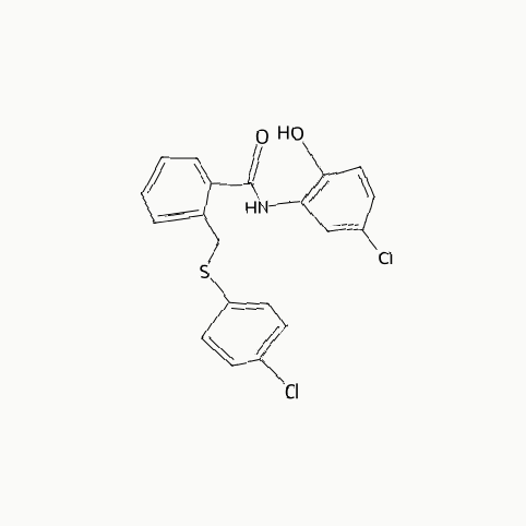 O=C(Nc1cc(Cl)ccc1O)c1ccccc1CSc1ccc(Cl)cc1